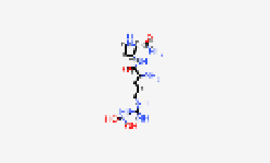 N=C(NCCC[C@H](N)C(=O)N[C@H]1CCN[C@@H]1C(N)=O)NN(O)O